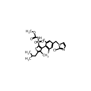 COC(=O)NS(=O)(=O)c1sc(CC(C)C)c(C)c1-c1c(F)cc(Cn2ccnc2Cl)cc1F